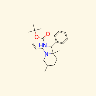 C=CCN1CC(C)CCC1(C)[C@H](NC(=O)OC(C)(C)C)c1ccccc1